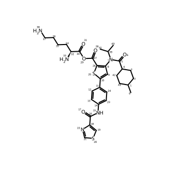 CC1CCC(C(=O)N(c2cc(-c3ccc(NC(=O)c4cscn4)cc3)sc2C(=O)OC(=O)[C@@H](N)CCCCN)C(C)C)CC1